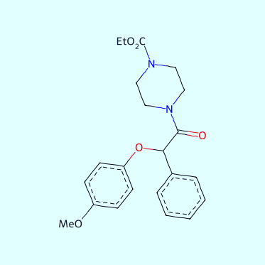 CCOC(=O)N1CCN(C(=O)C(Oc2ccc(OC)cc2)c2ccccc2)CC1